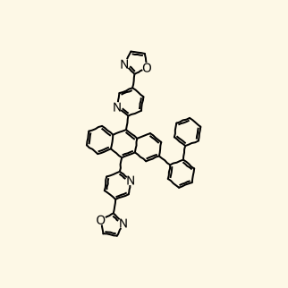 c1ccc(-c2ccccc2-c2ccc3c(-c4ccc(-c5ncco5)cn4)c4ccccc4c(-c4ccc(-c5ncco5)cn4)c3c2)cc1